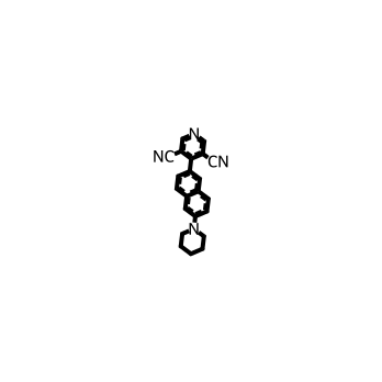 N#Cc1cncc(C#N)c1-c1ccc2cc(N3CCCCC3)ccc2c1